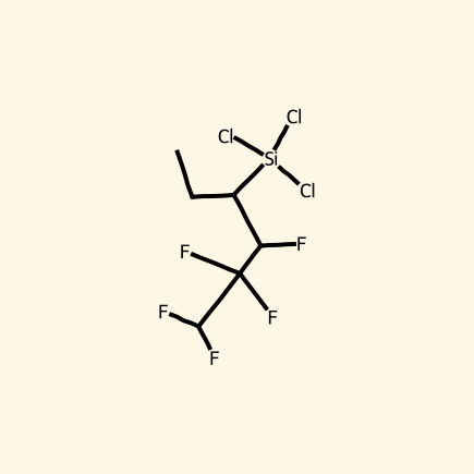 CCC(C(F)C(F)(F)C(F)F)[Si](Cl)(Cl)Cl